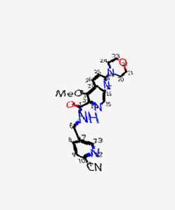 COc1c(C(=O)NCc2ccc(C#N)nc2)ncc2nc(N3CCOCC3)ccc12